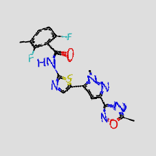 Cc1nc(-c2cc(-c3cnc(NC(=O)c4c(F)ccc(C)c4F)s3)n(C)n2)no1